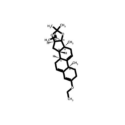 CCOC1=CC2=CC[C@@H]3C(=CC[C@@]4(C)[C@H]3C[C@H]3OC(C)(C)O[C@]34C(C)=O)[C@@]2(C)CC1